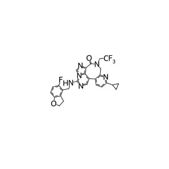 O=C1c2ncn3c(NCc4c(F)ccc5c4CCO5)ncc(c23)-c2ccc(C3CC3)nc2CN1CC(F)(F)F